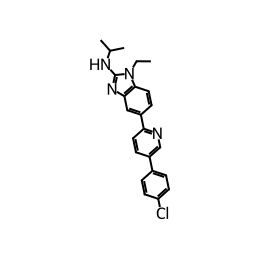 CCn1c(NC(C)C)nc2cc(-c3ccc(-c4ccc(Cl)cc4)cn3)ccc21